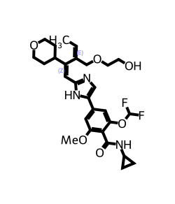 C/C=C(COCCO)\C(=C/c1ncc(-c2cc(OC)c(C(=O)NC3CC3)c(OC(F)F)c2)[nH]1)C1CCOCC1